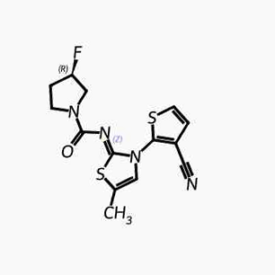 Cc1cn(-c2sccc2C#N)/c(=N/C(=O)N2CC[C@@H](F)C2)s1